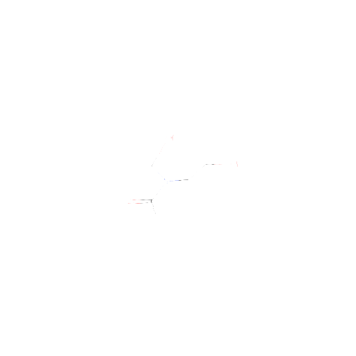 CCC(=O)N(CO)CCO